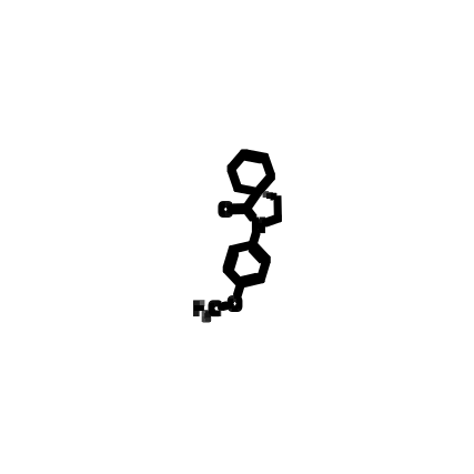 O=C1N(c2ccc(OC(F)(F)F)cc2)CC[C@]12CC=CCC2